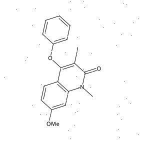 COc1ccc2c(Oc3ccccc3)c(I)c(=O)n(C)c2c1